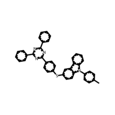 Cc1ccc(-n2c3ccccc3c3cc(Sc4ccc(-c5nc(-c6ccccc6)nc(-c6ccccc6)n5)cc4)ccc32)cc1